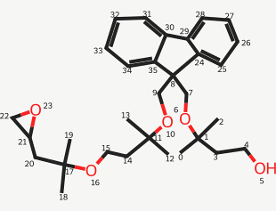 CC(C)(CCO)OCC1(COC(C)(C)CCOC(C)(C)CC2CO2)c2ccccc2-c2ccccc21